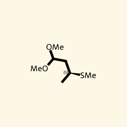 COC(C[C@H](C)SC)OC